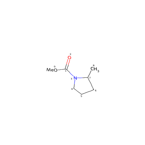 COC(=O)N1CCCC1C